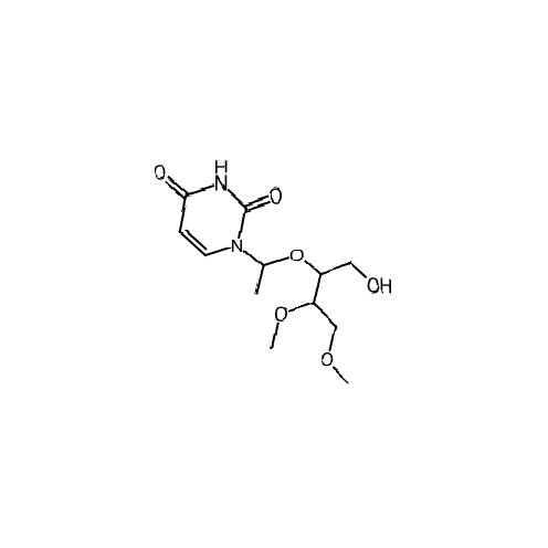 COCC(OC)C(CO)OC(C)n1ccc(=O)[nH]c1=O